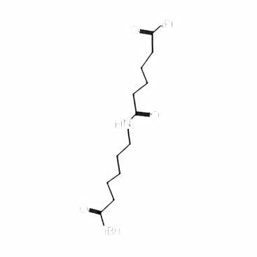 CCC(C)C(=O)CCCCCNC(=O)CCCCC(=O)C(C)C